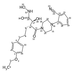 CCOc1ccc(CCC[C@@H](C(=O)N2CCN(c3ccccc3C#N)CC2)[C@H](O)C(=O)NO)cc1